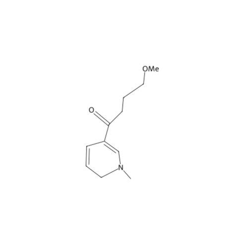 COCCCC(=O)C1=CN(C)CC=C1